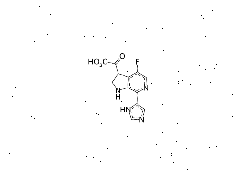 O=C(O)C(=O)C1CNc2c(-c3cnc[nH]3)ncc(F)c21